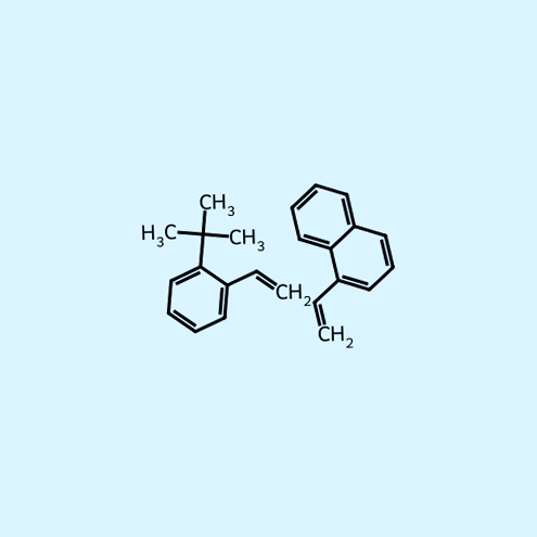 C=Cc1cccc2ccccc12.C=Cc1ccccc1C(C)(C)C